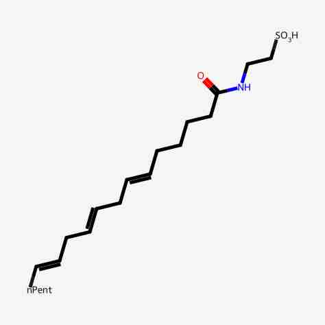 CCCCC/C=C/C/C=C/C/C=C/CCCCC(=O)NCCS(=O)(=O)O